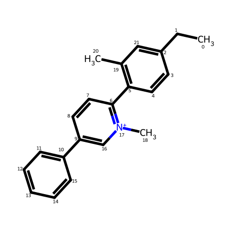 CCc1ccc(-c2ccc(-c3ccccc3)c[n+]2C)c(C)c1